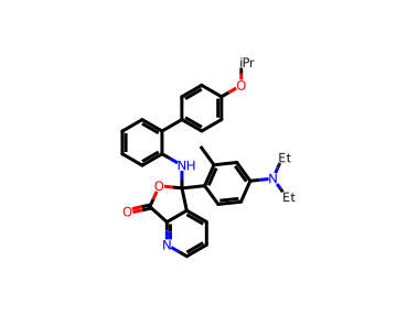 CCN(CC)c1ccc(C2(Nc3ccccc3-c3ccc(OC(C)C)cc3)OC(=O)c3ncccc32)c(C)c1